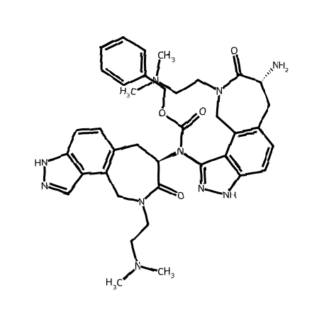 CN(C)CCN1Cc2c(ccc3[nH]nc(N(C(=O)OCc4ccccc4)[C@@H]4Cc5ccc6[nH]ncc6c5CN(CCN(C)C)C4=O)c23)C[C@@H](N)C1=O